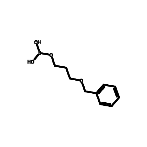 OB(O)OCCCOCc1ccccc1